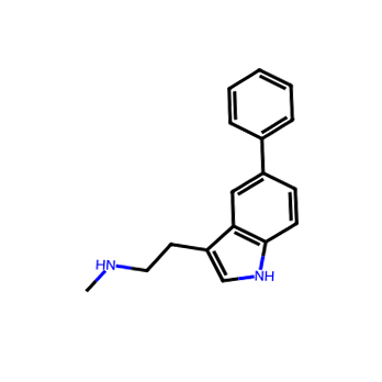 CNCCc1c[nH]c2ccc(-c3ccccc3)cc12